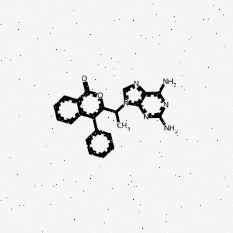 CC(c1oc(=O)c2ccccc2c1-c1ccccc1)n1cnc2c(N)nc(N)nc21